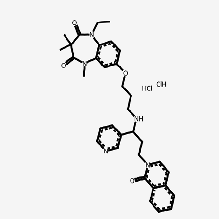 CCN1C(=O)C(C)(C)C(=O)N(C)c2cc(OCCCNC(CCn3ccc4ccccc4c3=O)c3cccnc3)ccc21.Cl.Cl